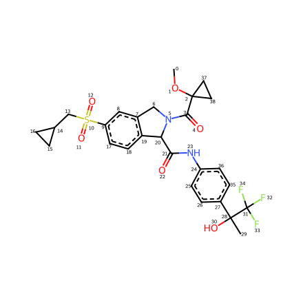 COC1(C(=O)N2Cc3cc(S(=O)(=O)CC4CC4)ccc3C2C(=O)Nc2ccc(C(C)(O)C(F)(F)F)cc2)CC1